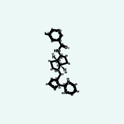 Cc1cncc(C(=O)N[C@H]2CC[C@@H]3[C@H]2CCN3Cc2cccn2-c2ncccn2)c1